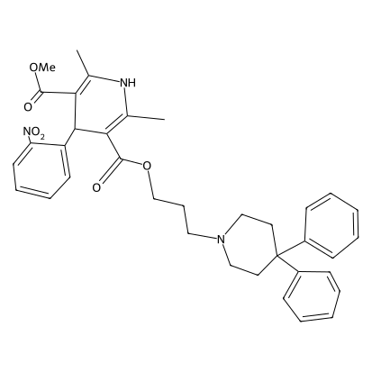 COC(=O)C1=C(C)NC(C)=C(C(=O)OCCCN2CCC(c3ccccc3)(c3ccccc3)CC2)C1c1ccccc1[N+](=O)[O-]